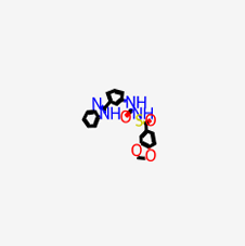 O=C(NSC(=O)c1ccc2c(c1)OCCO2)Nc1cccc(-c2nc3ccccc3[nH]2)c1